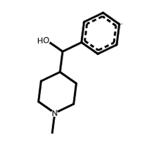 CN1CCC(C(O)c2cc[c]cc2)CC1